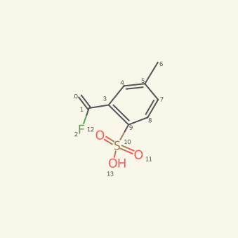 C=C(F)c1cc(C)ccc1S(=O)(=O)O